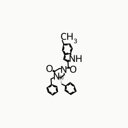 CCc1ccc2[nH]c(C(=O)N3CC(=O)N(Cc4ccccc4)[C@@H](Cc4ccccc4)C3)cc2c1